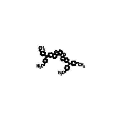 CCc1ccc(N(c2ccc(CC)cc2)c2ccc3c(ccc4c3oc3ccc5oc6c7ccc(N(c8ccc(CC)cc8)c8ccc(CC)cc8)cc7ccc6c5c34)c2)cc1